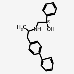 CC(Cc1ccc(-c2ccccc2)cc1)NC[C@H](O)c1ccccc1